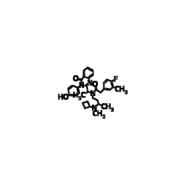 Cc1cc(CC(=O)N(CCC(C)N(C)C2CCC2)C(C)c2nc3ccccc3c(=O)n2-c2ccc(O)cc2)ccc1F